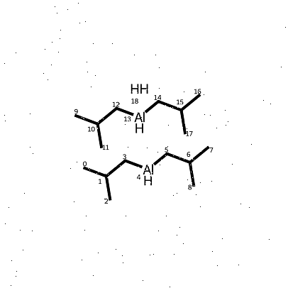 CC(C)[CH2][AlH][CH2]C(C)C.CC(C)[CH2][AlH][CH2]C(C)C.[HH]